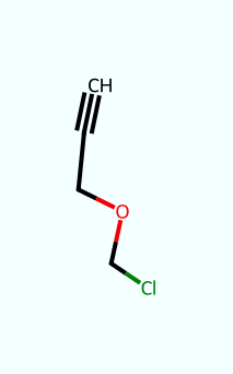 C#CCOCCl